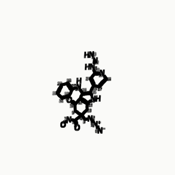 [N-]=[N+]=NCC1(C(=O)N=O)CC(=O)c2c([nH]c(-c3ccnc(NN=N)c3)c2Nc2ccccc2)C1